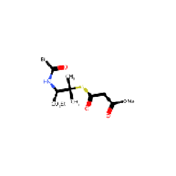 CCOC(=O)C(NC(=O)CC)C(C)(C)SC(=O)CC(=O)OC